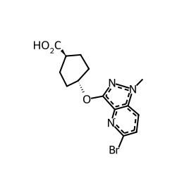 Cn1nc(O[C@H]2CC[C@H](C(=O)O)CC2)c2nc(Br)ccc21